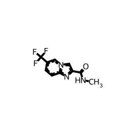 CNC(=O)c1cn2cc(C(F)(F)F)ccc2n1